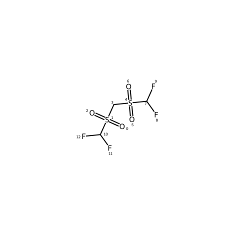 O=S(=O)(CS(=O)(=O)C(F)F)C(F)F